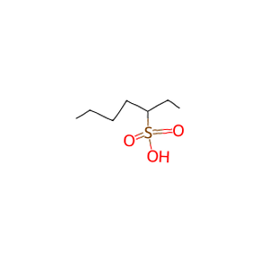 CCCCC(CC)S(=O)(=O)O